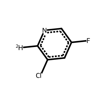 [2H]c1ncc(F)cc1Cl